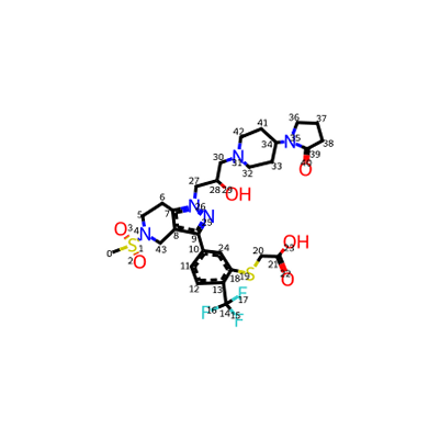 CS(=O)(=O)N1CCc2c(c(-c3ccc(C(F)(F)F)c(SCC(=O)O)c3)nn2CC(O)CN2CCC(N3CCCC3=O)CC2)C1